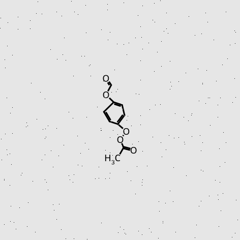 CC(=O)OOc1ccc(OC=O)cc1